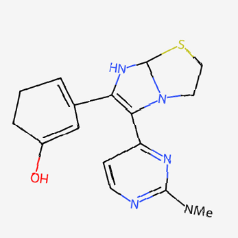 CNc1nccc(C2=C(C3=CCCC(O)=C3)NC3SCCN23)n1